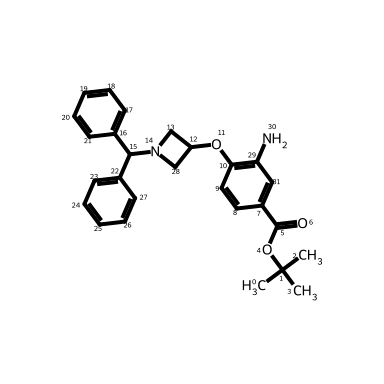 CC(C)(C)OC(=O)c1ccc(OC2CN(C(c3ccccc3)c3ccccc3)C2)c(N)c1